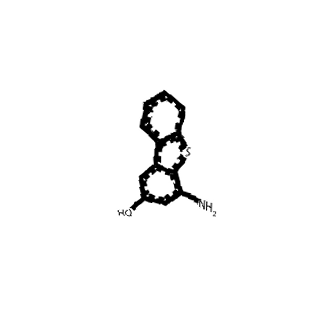 Nc1cc(O)cc2c1sc1ccccc12